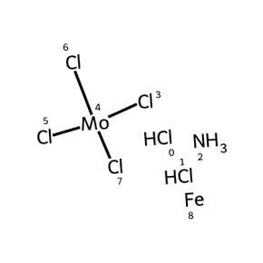 Cl.Cl.N.[Cl][Mo]([Cl])([Cl])[Cl].[Fe]